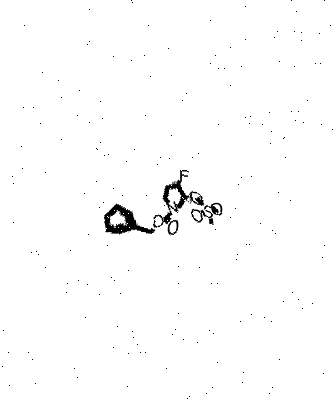 CS(=O)(=O)O[C@@H]1CN(C(=O)OCc2ccccc2)CC[C@H]1F